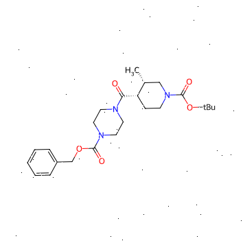 C[C@@H]1CN(C(=O)OC(C)(C)C)CC[C@@H]1C(=O)N1CCN(C(=O)OCc2ccccc2)CC1